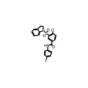 O=C(Nc1ccc(F)cc1)c1ccc(Cl)c(S(=O)(=O)N2CCc3ccccc32)c1